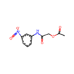 CC(=O)OCC(=O)Nc1cccc([N+](=O)[O-])c1